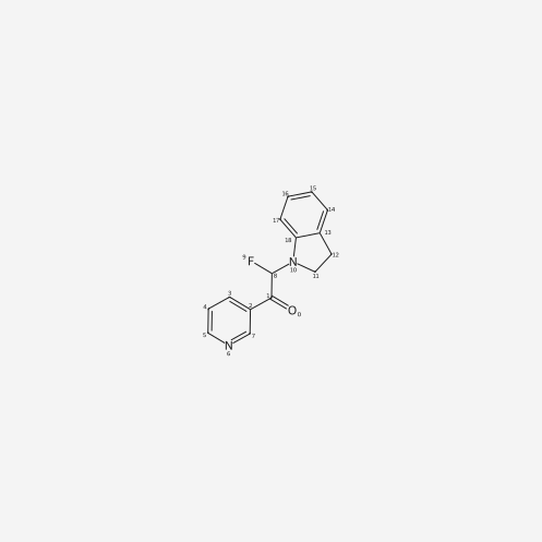 O=C(c1cccnc1)C(F)N1CCc2ccccc21